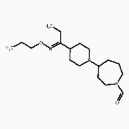 CCCON=C(CC)C1CCN(C2CCCN(C=O)CC2)CC1